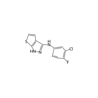 Fc1ccc(Nc2n[nH]c3sccc23)cc1Cl